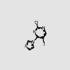 Clc1ncc(I)c(-n2ccnc2)n1